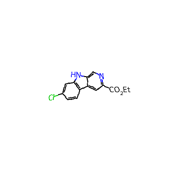 CCOC(=O)c1cc2c(cn1)[nH]c1cc(Cl)ccc12